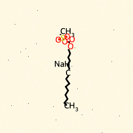 CCCCCCCCCCCCCCCCOC(=O)OS(=O)(=O)CC.[NaH]